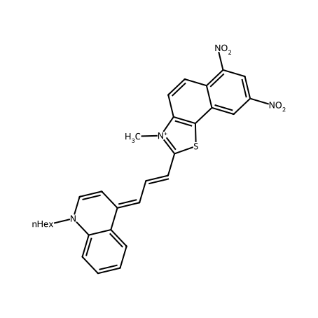 CCCCCCN1C=CC(=CC=Cc2sc3c4cc([N+](=O)[O-])cc([N+](=O)[O-])c4ccc3[n+]2C)c2ccccc21